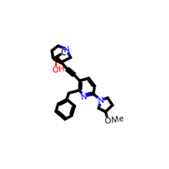 COC1CCN(c2ccc(C#C[C@@]3(O)CN4CCC3CC4)c(Cc3ccccc3)n2)C1